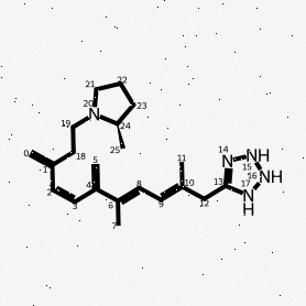 C=C(/C=C\C(=C)/C(C)=C/C=C(\C)CC1=NNNN1)CCN1CCC[C@H]1C